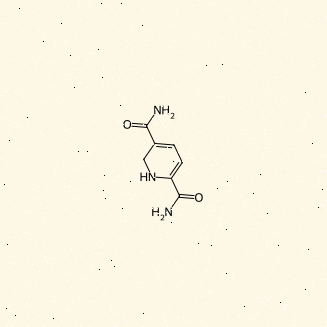 NC(=O)C1=CC=C(C(N)=O)NC1